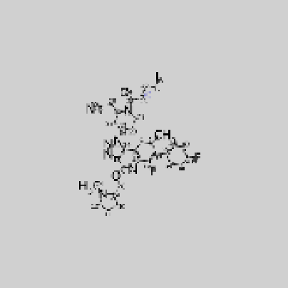 Cc1cc2c(nc(OC[C@@H]3CCCN3C)c3nnn([C@H]4CCN(C(=O)/C=C/CF)[C@H](CC#N)C4)c32)c(F)c1-c1ccc(F)cc1